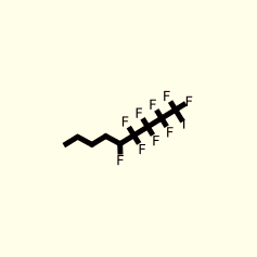 CCCCC(F)C(F)(F)C(F)(F)C(F)(F)C(F)(F)I